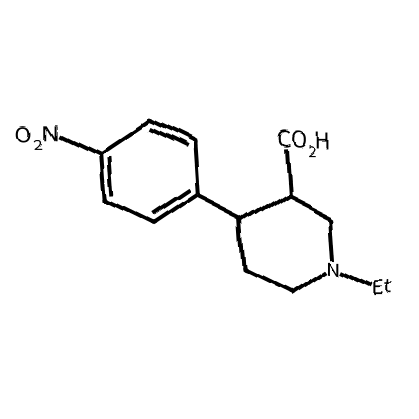 CCN1CCC(c2ccc([N+](=O)[O-])cc2)C(C(=O)O)C1